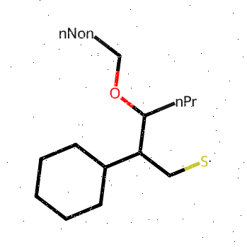 CCCCCCCCCCOC(CCC)C(C[S])C1CCCCC1